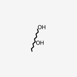 CCCC[C@@H](O)CCCCCO